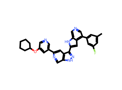 Cc1cc(F)cc(-c2cncc3[nH]c(-c4n[nH]c5cnc(-c6cncc(OC7CCCCC7)c6)cc45)cc23)c1